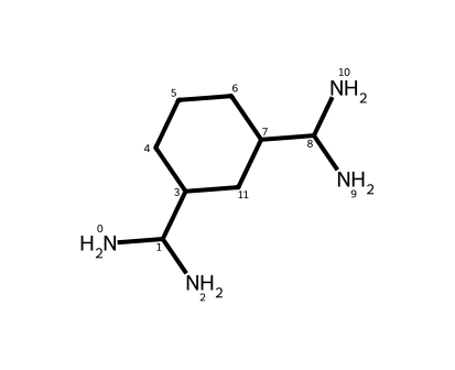 NC(N)C1CCCC(C(N)N)C1